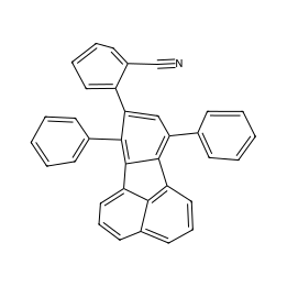 N#Cc1ccccc1-c1cc(-c2ccccc2)c2c(c1-c1ccccc1)-c1cccc3cccc-2c13